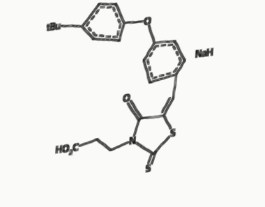 CC(C)(C)c1ccc(Oc2ccc(C=C3SC(=S)N(CCC(=O)O)C3=O)cc2)cc1.[NaH]